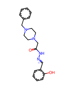 O=C(CN1CCN(Cc2ccccc2)CC1)N/N=C/c1ccccc1O